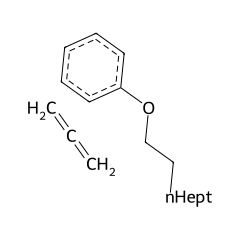 C=C=C.CCCCCCCCCOc1ccccc1